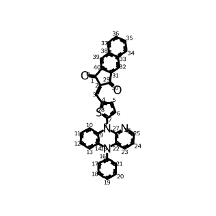 O=C1C(=Cc2ccc(N3c4ccccc4N(c4ccccc4)c4cccnc43)s2)C(=O)c2cc3ccccc3cc21